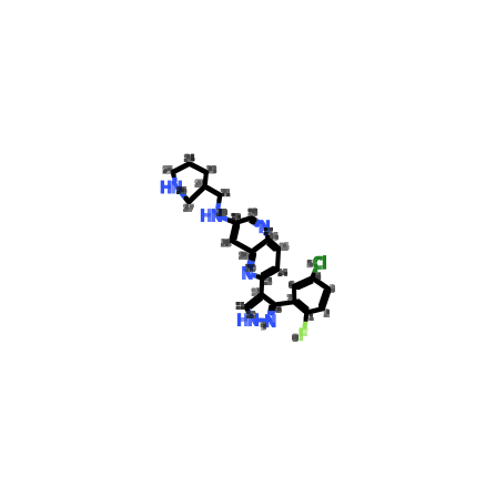 Fc1ccc(Cl)cc1-c1n[nH]cc1-c1ccc2ncc(NCC3CCCNC3)cc2n1